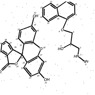 CC(C)NCC(O)COc1cccc2ccccc12.O=C1OC2(c3ccc(O)cc3Oc3cc(O)ccc32)c2ccccc21